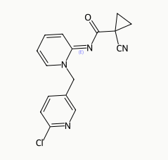 N#CC1(C(=O)/N=c2\ccccn2Cc2ccc(Cl)nc2)CC1